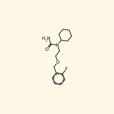 NC(=O)N(CCOCc1ccccc1F)C1CCCCC1